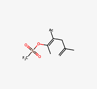 C=C(C)C/C(C(C)=O)=C(\C)OS(=O)(=O)C(F)(F)F